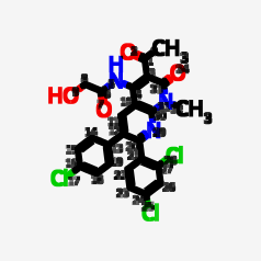 CC(=O)c1c(NC(=O)CO)c2cc(-c3ccc(Cl)cc3)c(-c3ccc(Cl)cc3Cl)nc2n(C)c1=O